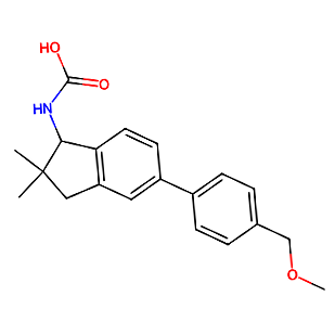 COCc1ccc(-c2ccc3c(c2)CC(C)(C)C3NC(=O)O)cc1